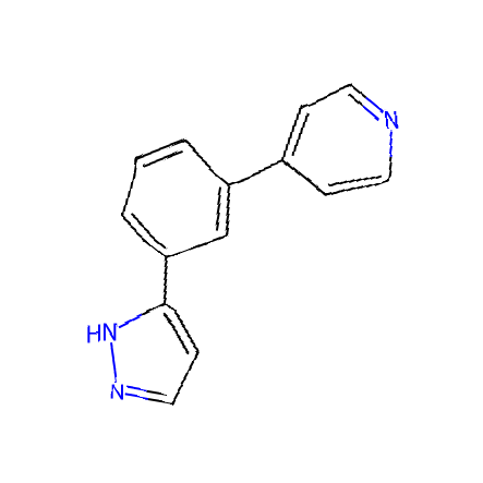 c1cc(-c2ccncc2)cc(-c2ccn[nH]2)c1